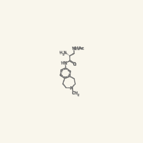 CC(=O)NC[C@@H](N)C(=O)Nc1ccc2c(c1)CCN(C)CC2